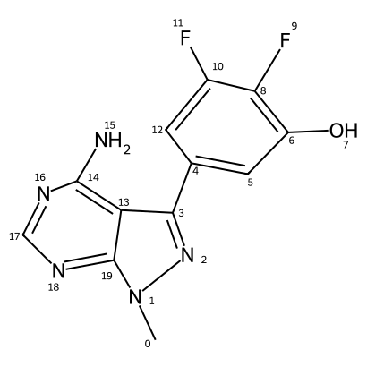 Cn1nc(-c2cc(O)c(F)c(F)c2)c2c(N)ncnc21